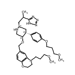 COCCCOc1ccc([C@H]2C[C@H](CC(C)c3nnn[nH]3)NC[C@@H]2OCc2ccc3c(c2)N(CCCOC)CCO3)cc1